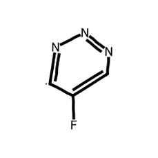 Fc1[c]nnnc1